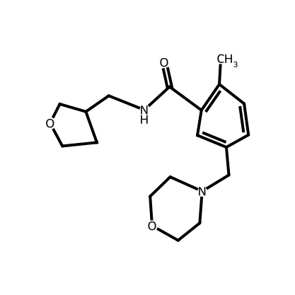 Cc1ccc(CN2CCOCC2)cc1C(=O)NCC1CCOC1